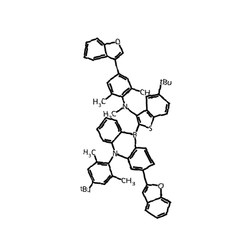 Cc1cc(-c2coc3ccccc23)cc(C)c1N(C)c1c(B2c3ccccc3N(c3c(C)cc(C(C)(C)C)cc3C)c3cc(-c4cc5ccccc5o4)ccc32)sc2ccc(C(C)(C)C)cc12